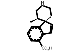 C[C@H]1CNCC[C@@]12C=Cc1c(C(=O)O)cccc12